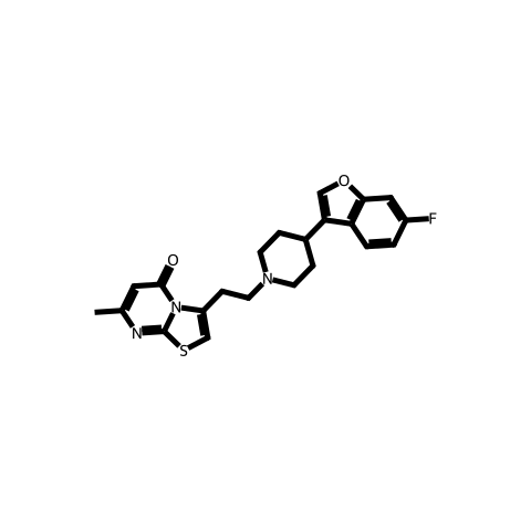 Cc1cc(=O)n2c(CCN3CCC(c4coc5cc(F)ccc45)CC3)csc2n1